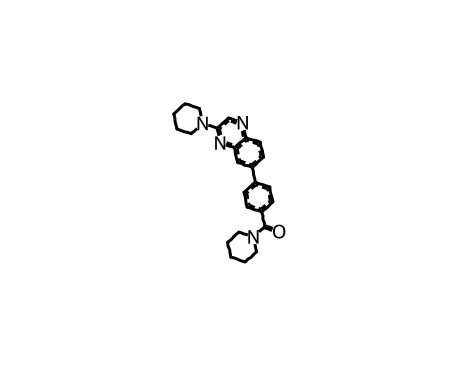 O=C(c1ccc(-c2ccc3ncc(N4CCCCC4)nc3c2)cc1)N1CCCCC1